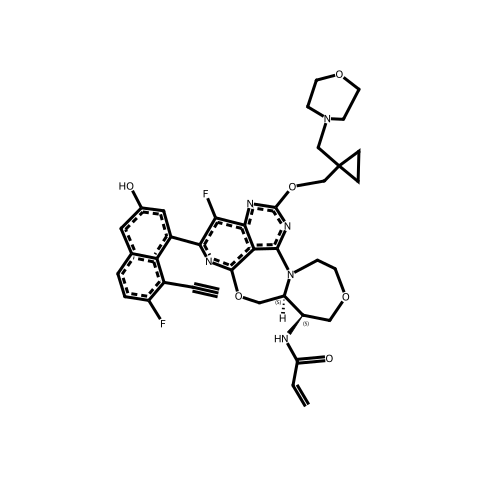 C#Cc1c(F)ccc2cc(O)cc(-c3nc4c5c(nc(OCC6(CN7CCOCC7)CC6)nc5c3F)N3CCOC[C@@H](NC(=O)C=C)[C@H]3CO4)c12